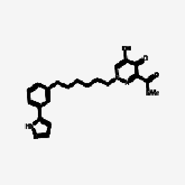 CNC(=O)c1nn(CCCCCCc2cccc(-c3ccn[nH]3)c2)cc(O)c1=O